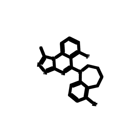 Cc1nnc2nc(N3CCCCc4c(Br)cccc43)c3c(F)cccc3n12